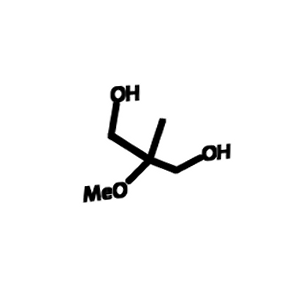 COC(C)(CO)CO